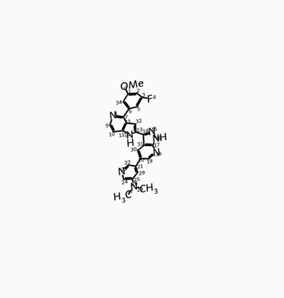 COc1cc(F)cc(-c2nccc3[nH]c(-c4n[nH]c5ncc(-c6cncc(N(C)C)c6)cc45)cc23)c1